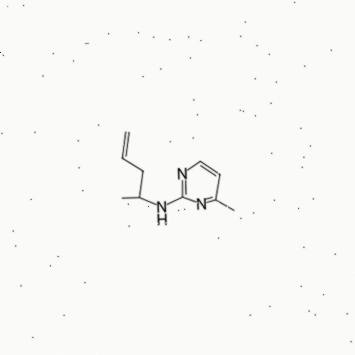 C=CCC(C)Nc1nccc(C)n1